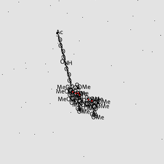 COC(=O)[C@H]1O[C@@H](OC2[C@@H](COS(=O)(=O)OC)O[C@H](O[C@H]3[C@H](OC)[C@@H](OC)[C@H](O[C@H]4[C@H](OS(=O)(=O)OC)[C@@H](OS(=O)(=O)OC)[C@@H](OC)O[C@@H]4COS(=O)(=O)OC)O[C@H]3C(=O)OC)[C@H](OS(=O)(=O)OC)[C@H]2OS(=O)(=O)OC)[C@H](OC)[C@@H](OC)[C@@H]1O[C@H]1O[C@H](COS(=O)(=O)OC)[C@@H](OCCOCCOCCOCCNC(=O)COCCOCCOCCOCCSC(C)=O)[C@H](OC)[C@H]1OC